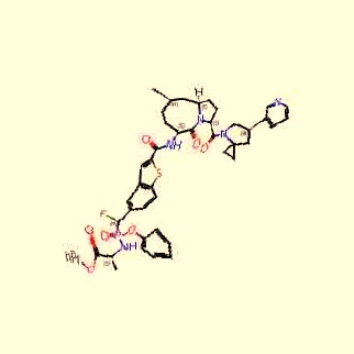 CCCOC(=O)[C@H](C)NP(=O)(Oc1ccccc1)[C@@H](F)c1ccc2sc(C(=O)N[C@H]3CC[C@@H](C)C[C@H]4CC[C@@H](C(=O)N5C[C@@H](c6cccnc6)CC56CC6)N4C3=O)cc2c1